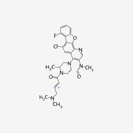 CC1CN(c2c(N(C)C=O)cnc3c2cc(Cl)c2c3oc3cccc(F)c32)CCN1C(=O)/C=C/CN(C)C